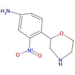 Nc1ccc(C2CNCCO2)c([N+](=O)[O-])c1